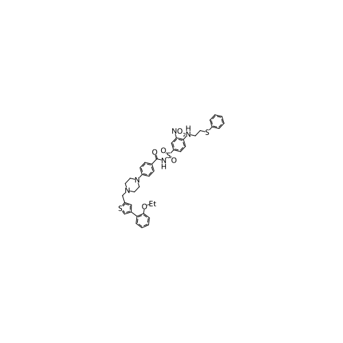 CCOc1ccccc1-c1csc(CN2CCN(c3ccc(C(=O)NS(=O)(=O)c4ccc(NCCSc5ccccc5)c([N+](=O)[O-])c4)cc3)CC2)c1